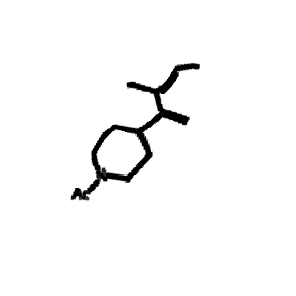 C=C(/C(C)=C\C)C1CCN(C(C)=O)CC1